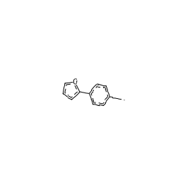 [CH2]c1ccc(-c2ccco2)cc1